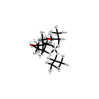 [2H]C([2H])([2H])C([2H])([O][Ti]([O]C([2H])(C([2H])([2H])[2H])C([2H])([2H])[2H])([O]C([2H])(C([2H])([2H])[2H])C([2H])([2H])[2H])[O]C([2H])(C([2H])([2H])[2H])C([2H])([2H])[2H])C([2H])([2H])[2H]